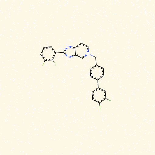 Fc1ccc(-c2ccc(Cn3ccc4nc(-c5cccc(F)c5F)nc-4c3)cc2)cc1Cl